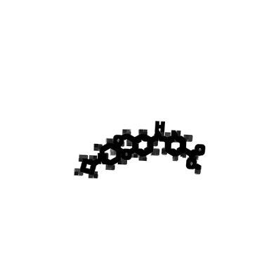 COC(=O)c1ccc(Nc2ccc3c(c2)COC2(CCN(C4CCC4)CC2)O3)nc1